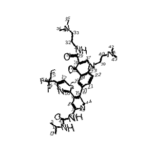 CC(C)NC(=O)Nc1cc(-c2nc(C(F)(F)F)cs2)c(-c2ccc3c(c2)c(=O)c(C(=O)NCCN(C)C)cn3CCN(C)C)cn1